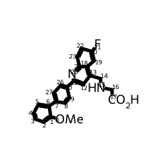 COc1ccccc1-c1ccc(-c2cc(CNCC(=O)O)c3cc(F)ccc3n2)cc1